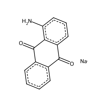 Nc1cccc2c1C(=O)c1ccccc1C2=O.[Na]